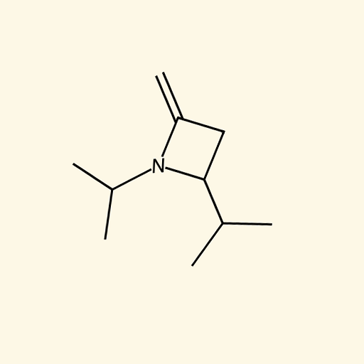 C=C1CC(C(C)C)N1C(C)C